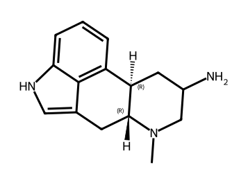 CN1CC(N)C[C@@H]2c3cccc4[nH]cc(c34)C[C@H]21